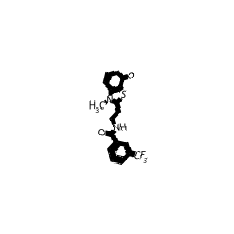 CN1C2=C(SC1CCNC(=O)c1cccc(C(F)(F)F)c1)C(=O)CC=C2